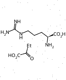 CCC(=O)C(=O)O.N=C(N)NCCC[C@H](N)C(=O)O